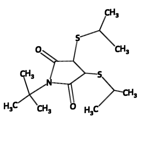 CC(C)SC1C(=O)N(C(C)(C)C)C(=O)C1SC(C)C